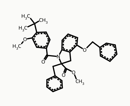 COC(=O)C1(Cc2ccccc2)Cc2c(OCc3ccccc3)cccc2N1C(=O)c1ccc(C(C)(C)C)c(OC)c1